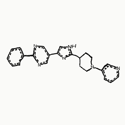 c1ccc(-c2ncc(-c3c[nH]c(C4CCN(c5cccnc5)CC4)n3)cn2)cc1